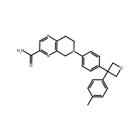 Cc1ccc(C2(c3ccc(N4CCc5ncc(C(N)=O)nc5C4)cc3)COC2)cc1